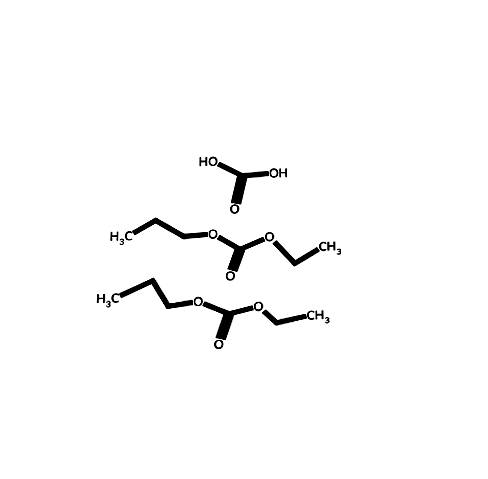 CCCOC(=O)OCC.CCCOC(=O)OCC.O=C(O)O